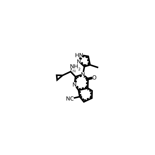 Cc1c[nH]nc1-n1c([C@@H](N)C2CC2)nc2c(C#N)cccc2c1=O